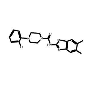 Cc1cc2nc(NC(=O)N3CCN(c4ccccc4Cl)CC3)[nH]c2cc1C